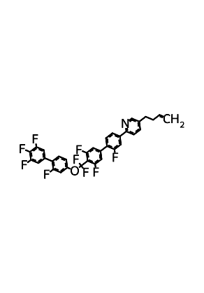 C=CCCc1ccc(-c2ccc(-c3cc(F)c(C(F)(F)Oc4ccc(-c5cc(F)c(F)c(F)c5)c(F)c4)c(F)c3)c(F)c2)nc1